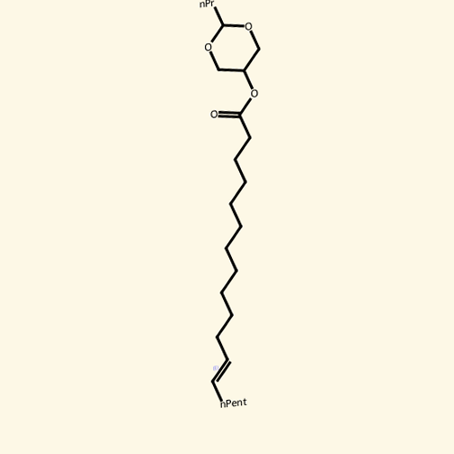 CCCCC/C=C/CCCCCCCCCCC(=O)OC1COC(CCC)OC1